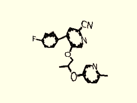 Cc1ccc(OC(C)COc2cnc(C#N)cc2-c2ccc(F)cc2)cn1